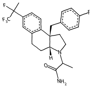 CC(C(N)=O)N1CC[C@@]2(Cc3ccc(F)cc3)c3ccc(C(C)(F)C(F)(F)F)cc3CC[C@@H]12